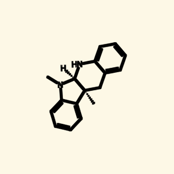 CN1c2ccccc2[C@]2(C)Cc3ccccc3N[C@H]12